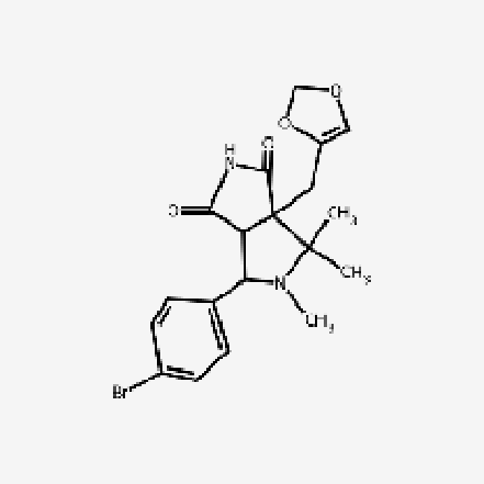 CN1C(c2ccc(Br)cc2)C2C(=O)NC(=O)C2(CC2=COCO2)C1(C)C